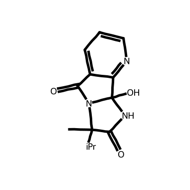 CC(C)C1(C)C(=O)NC2(O)c3ncccc3C(=O)N21